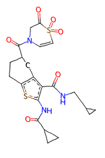 O=C(NCC1CC1)c1c(NC(=O)C2CC2)sc2c1CC(C(=O)N1C=CS(=O)(=O)C(=O)C1)CC2